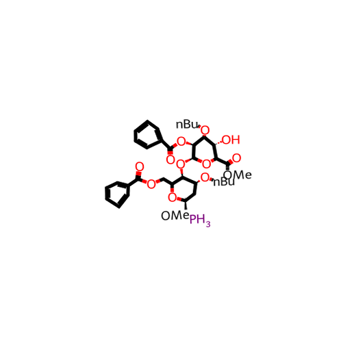 CCCCOC1[C@H](O)C(C(=O)OC)O[C@@H](O[C@@H]2C(COC(=O)c3ccccc3)O[C@H](OC)C[C@H]2OCCCC)[C@H]1OC(=O)c1ccccc1.P